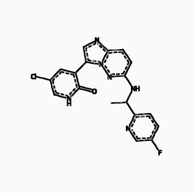 CC(Nc1ccc2ncc(-c3cc(Cl)c[nH]c3=O)n2n1)c1ccc(F)cn1